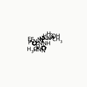 CC(=O)Nc1cc(Nc2nc(-c3cccc(C(F)(F)F)n3)nn3ccc(CNCC(C)(C)O)c23)ccn1